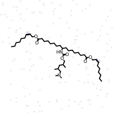 CCCCCC/C=C\COC(=O)CCCCCCCC(CCCCCCCC(=O)OC/C=C\CCCCCC)NC(=O)OCC(C)CC(C)CN(C)C